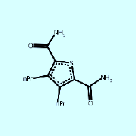 CCCc1c(C(N)=O)sc(C(N)=O)c1CCC